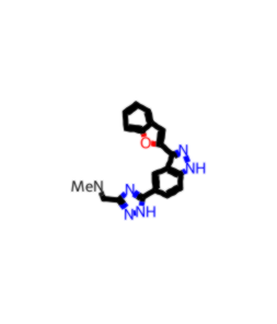 CNCc1n[nH]c(-c2ccc3[nH]nc(-c4cc5ccccc5o4)c3c2)n1